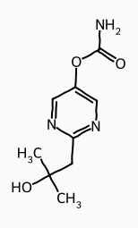 CC(C)(O)Cc1ncc(OC(N)=O)cn1